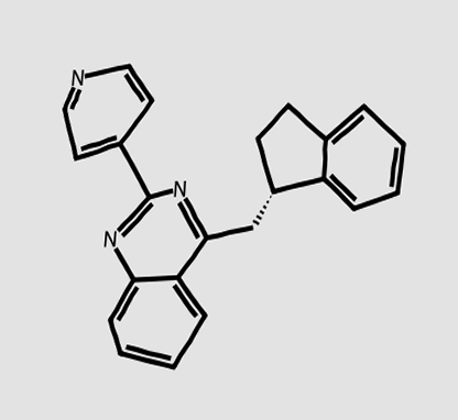 c1ccc2c(c1)CC[C@H]2Cc1nc(-c2ccncc2)nc2ccccc12